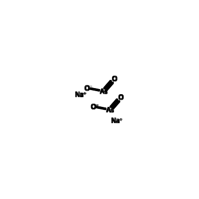 O=[As][O-].O=[As][O-].[Na+].[Na+]